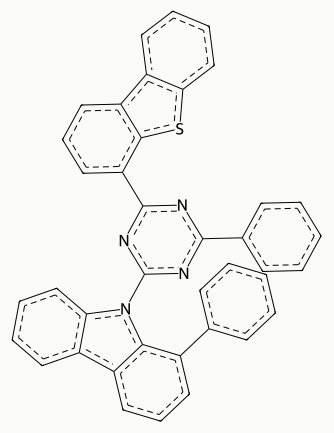 c1ccc(-c2nc(-c3cccc4c3sc3ccccc34)nc(-n3c4ccccc4c4cccc(-c5ccccc5)c43)n2)cc1